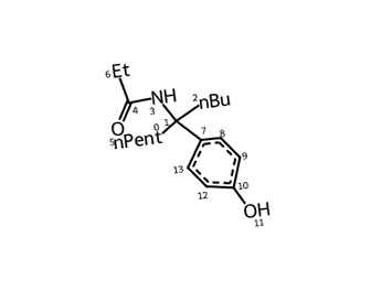 CCCCCC(CCCC)(NC(=O)CC)c1ccc(O)cc1